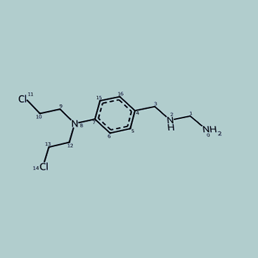 NCNCc1ccc(N(CCCl)CCCl)cc1